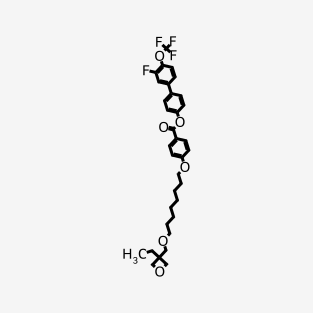 CCC1(COCCCCCCCCOc2ccc(C(=O)Oc3ccc(-c4ccc(OC(F)(F)F)c(F)c4)cc3)cc2)COC1